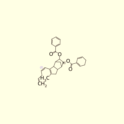 C=CC/C=C\C1=C(C)CC2C1C1CC2[C@@H](OC(=O)C2=CCCC=C2)C1OC(=O)c1ccccc1